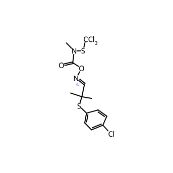 CN(SC(Cl)(Cl)Cl)C(=O)O/N=C/C(C)(C)Sc1ccc(Cl)cc1